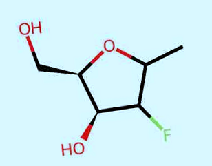 CC1O[C@H](CO)[C@H](O)C1F